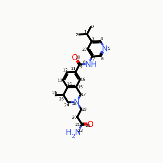 CC(C)c1cncc(NC(=O)c2ccc3c(c2)CN(CCC(N)=O)CC3C)c1